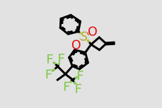 C=C1CC(c2ccc(C(C)(C(F)(F)F)C(F)(F)F)cc2)(S(=O)(=O)c2ccccc2)C1